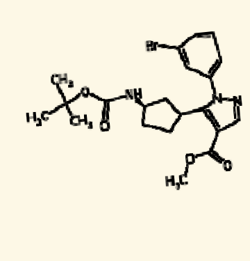 COC(=O)c1cnn(-c2cccc(Br)c2)c1[C@H]1CC[C@@H](NC(=O)OC(C)(C)C)C1